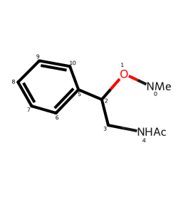 CNOC(CNC(C)=O)c1ccccc1